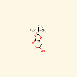 CC(C)(C)[C@@H]1OC(=O)[C@@H](CC(=O)O)O1